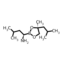 CC(C)C[C@H](N)B1OC[C@](C)(CC(C)C)O1